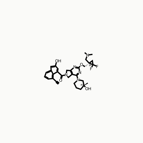 C#Cc1cccc2cc(O)cc(C(=O)N3Cc4nc(OC[C@]5(CN(C)C)CC5(F)F)nc(N5CCC[C@@](C)(O)C5)c4C3)c12